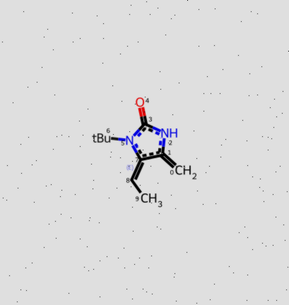 C=c1[nH]c(=O)n(C(C)(C)C)/c1=C/C